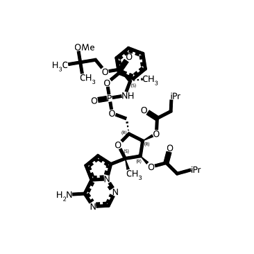 COC(C)(C)COC(=O)[C@H](C)NP(=O)(OC[C@H]1O[C@@](C)(c2ccc3c(N)ncnn23)[C@H](OC(=O)CC(C)C)[C@@H]1OC(=O)CC(C)C)Oc1ccccc1